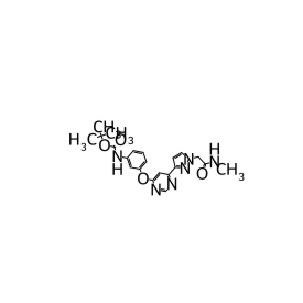 CNC(=O)Cn1ccc(-c2cc(Oc3cccc(NC(=O)OC(C)(C)C)c3)ncn2)n1